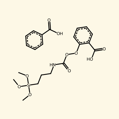 CO[Si](CCCNC(=O)OOc1ccccc1C(=O)O)(OC)OC.O=C(O)c1ccccc1